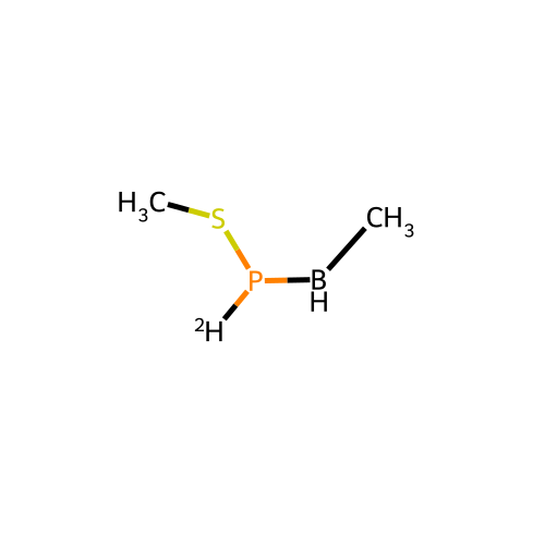 [2H]P(BC)SC